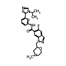 CC(C)n1cnnc1-c1cccc(NC(=O)c2cc3c(cnn3CC3CN(C)CCO3)cc2F)n1